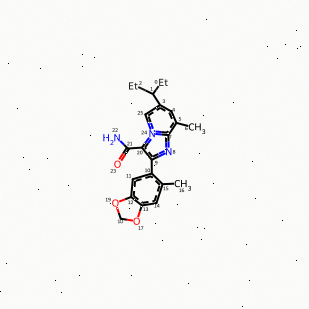 CCC(CC)c1cc(C)c2nc(-c3cc4c(cc3C)OCO4)c(C(N)=O)n2c1